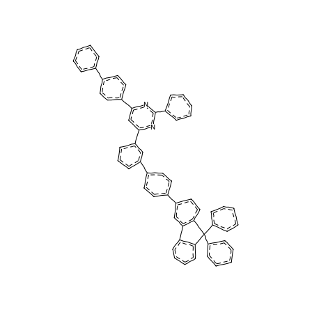 c1ccc(-c2ccc(-c3cc(-c4cccc(-c5ccc(-c6ccc7c(c6)-c6ccccc6C7(c6ccccc6)c6ccccc6)cc5)c4)nc(-c4ccccc4)n3)cc2)cc1